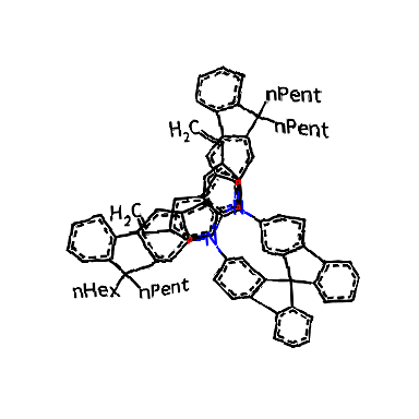 C=Cc1ccc2c(c1)c1cc3c(cc1n2-c1ccc2c(c1)C1(c4ccccc4-2)c2ccccc2-c2ccc(-n4c5ccc(C=C)cc5c5cc6c(cc54)C(CCCCC)(CCCCCC)c4ccccc4-6)cc21)C(CCCCC)(CCCCC)c1ccccc1-3